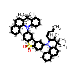 C=C/C=C\C1=C(C)C(C)(C)c2ccc3ccccc3c2N1c1ccc2c(c1)-c1cc(N3c4ccccc4C(C)(C)c4ccc5ccccc5c43)ccc1S2(=O)=O